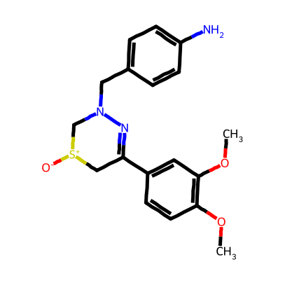 COc1ccc(C2=NN(Cc3ccc(N)cc3)C[S+]([O-])C2)cc1OC